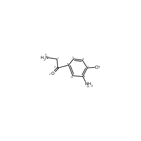 NCC(=O)c1ccc(Cl)c(N)c1